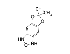 CC1(C)Oc2cc3c(cc2O1)NON3